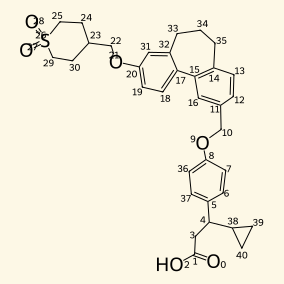 O=C(O)CC(c1ccc(OCc2ccc3c(c2)-c2ccc(OCC4CCS(=O)(=O)CC4)cc2CCC3)cc1)C1CC1